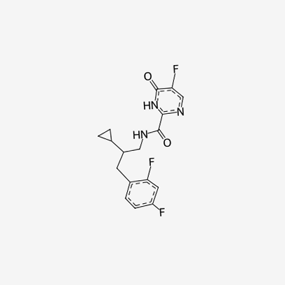 O=C(NCC(Cc1ccc(F)cc1F)C1CC1)c1ncc(F)c(=O)[nH]1